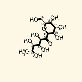 C[C@@H](O)[C@H](O)[C@H](O)[C@@H](O)C(=O)C1O[C@H](CO)[C@H](O)[C@H](O)[C@H]1O